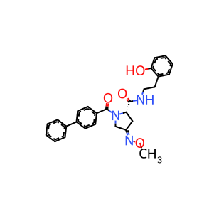 CO/N=C1\C[C@@H](C(=O)NCCc2ccccc2O)N(C(=O)c2ccc(-c3ccccc3)cc2)C1